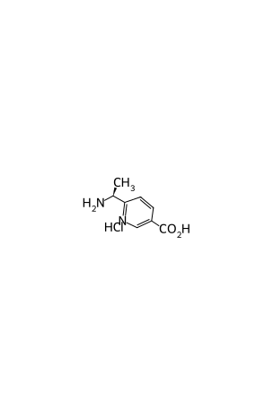 C[C@H](N)c1ccc(C(=O)O)cn1.Cl